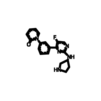 O=c1ccccn1-c1cccc(-c2nc(N[C@H]3CCNC3)ncc2F)c1